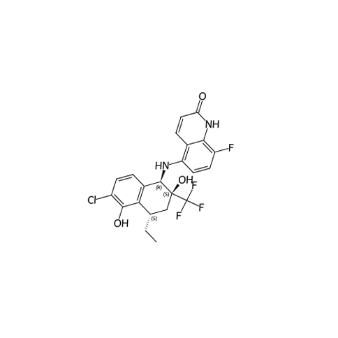 CC[C@H]1C[C@@](O)(C(F)(F)F)[C@H](Nc2ccc(F)c3[nH]c(=O)ccc23)c2ccc(Cl)c(O)c21